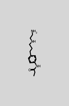 CCC(=O)Nc1ccc(CCCNCCN)cc1